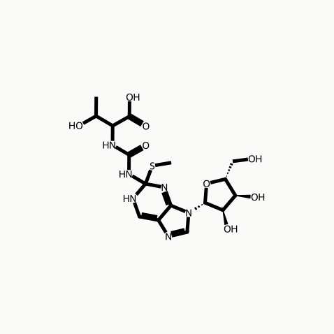 CSC1(NC(=O)NC(C(=O)O)C(C)O)N=c2c(ncn2[C@@H]2O[C@H](CO)[C@@H](O)[C@H]2O)=CN1